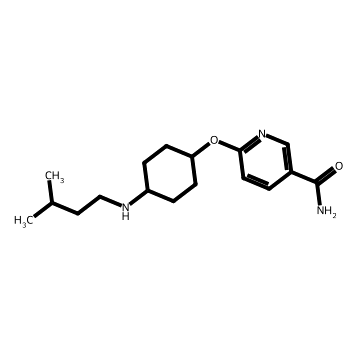 CC(C)CCNC1CCC(Oc2ccc(C(N)=O)cn2)CC1